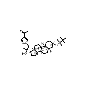 CC(=O)c1cnn(CC(C)(O)[C@H]2CC[C@H]3[C@@H]4CC[C@@H]5C[C@](C)(O[Si](C)(C)C(C)(C)C)CC[C@@H]5[C@H]4CC[C@]23C)c1